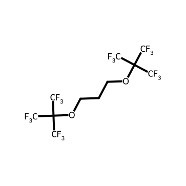 FC(F)(F)C(OCCCOC(C(F)(F)F)(C(F)(F)F)C(F)(F)F)(C(F)(F)F)C(F)(F)F